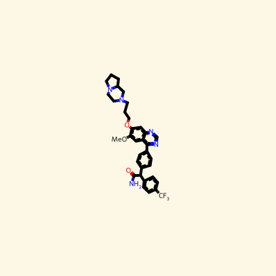 COc1cc2c(-c3ccc(C(C(N)=O)c4ccc(C(F)(F)F)cc4)cc3)ncnc2cc1OCCCN1CCN2CCCC2C1